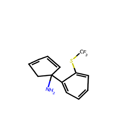 NC1(c2ccccc2SC(F)(F)F)C=CC=CC1